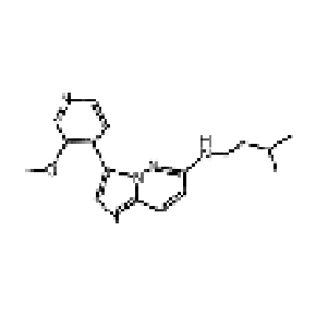 COc1cnccc1-c1cnc2ccc(NCCC(C)C)nn12